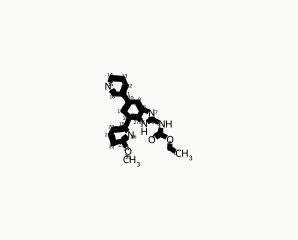 CCOC(=O)Nc1nc2cc(-c3cccnc3)cc(-c3cccc(OC)n3)c2[nH]1